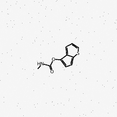 CNC(=O)Oc1ccc2scccc1-2